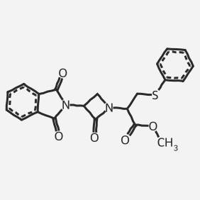 COC(=O)C(CSc1ccccc1)N1CC(N2C(=O)c3ccccc3C2=O)C1=O